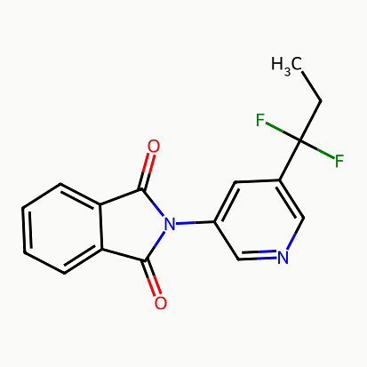 CCC(F)(F)c1cncc(N2C(=O)c3ccccc3C2=O)c1